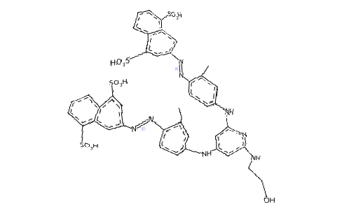 Cc1cc(Nc2cc(NCCO)nc(Nc3ccc(/N=N/c4cc(S(=O)(=O)O)c5cccc(S(=O)(=O)O)c5c4)c(C)c3)c2)ccc1/N=N/c1cc(S(=O)(=O)O)c2cccc(S(=O)(=O)O)c2c1